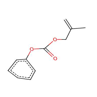 C=C(C)COC(=O)Oc1ccccc1